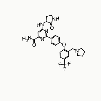 NC(=O)c1cc(N[C@H]2CCNC2=O)nc(-c2ccc(Oc3ccc(C(F)(F)F)cc3CN3CCCC3)cc2)n1